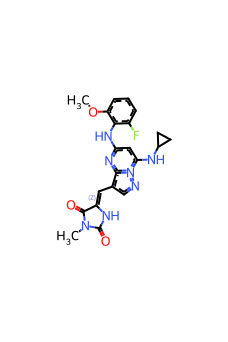 COc1cccc(F)c1Nc1cc(NC2CC2)n2ncc(/C=C3\NC(=O)N(C)C3=O)c2n1